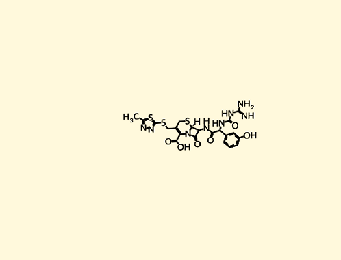 Cc1nnc(SCC2=C(C(=O)O)N3C(=O)C(NC(=O)C(NC(=O)NC(=N)N)c4cccc(O)c4)[C@@H]3SC2)s1